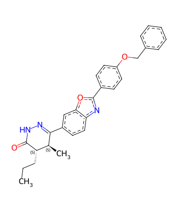 CCC[C@@H]1C(=O)NN=C(c2ccc3nc(-c4ccc(OCc5ccccc5)cc4)oc3c2)[C@H]1C